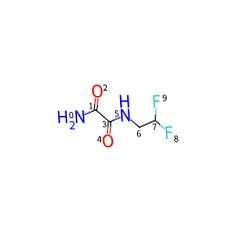 NC(=O)C(=O)NCC(F)F